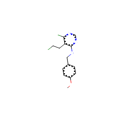 COc1ccc(CNc2ncnc(Cl)c2CCCl)cc1